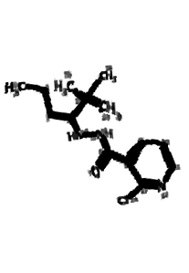 CCCC(NNC(=O)c1cccnc1Cl)C(C)(C)C